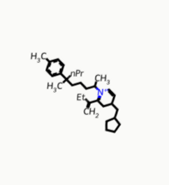 C=C(CC)C1=[N+](C(C)CCCC(C)(CCC)c2ccc(C)cc2)C=CC(CC2CCCC2)C1